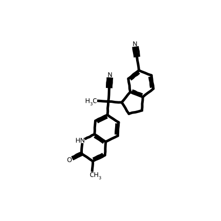 Cc1cc2ccc(C(C)(C#N)C3CCc4ccc(C#N)cc43)cc2[nH]c1=O